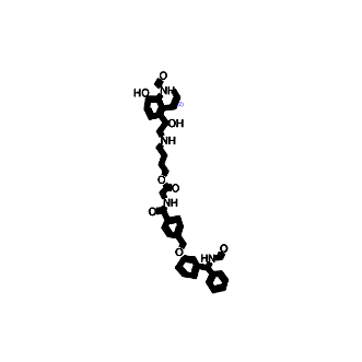 C/C=C\c1c(C(O)CNCCCCOC(=O)CNC(=O)c2ccc(COc3cccc(C(NC=O)c4ccccc4)c3)cc2)ccc(O)c1NC=O